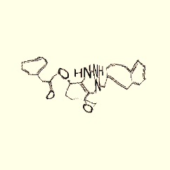 O=C(O[C@@H]1CC[C@@]2(CO2)C2=C1NNN2Cc1ccc2ccccc2c1)c1ccccc1